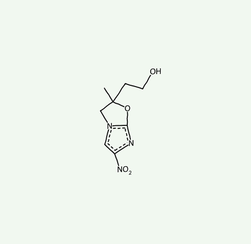 CC1(CCO)Cn2cc([N+](=O)[O-])nc2O1